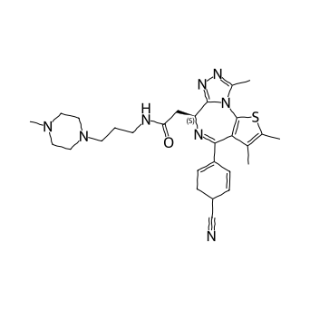 Cc1sc2c(c1C)C(C1=CCC(C#N)C=C1)=N[C@@H](CC(=O)NCCCN1CCN(C)CC1)c1nnc(C)n1-2